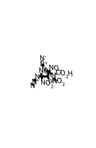 CCCC(C(N=[N+]=[N-])(N(C(=O)O)[N+](=O)[O-])[N+](=O)[O-])C(N=[N+]=[N-])([N+](=O)[O-])[N+](=O)[O-]